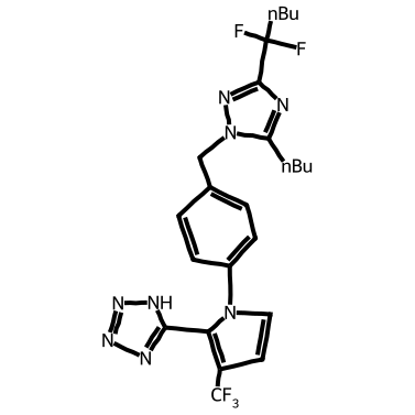 CCCCc1nc(C(F)(F)CCCC)nn1Cc1ccc(-n2ccc(C(F)(F)F)c2-c2nnn[nH]2)cc1